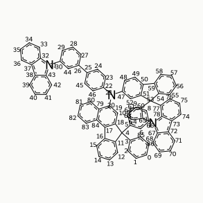 c1ccc(C2(c3ccccc3)c3ccccc3-c3c2cc(N(c2ccc(-c4cccc(-n5c6ccccc6c6ccccc65)c4)cc2)c2ccc4c(c2)C2(c5ccccc5-4)c4ccccc4-n4c5ccccc5c5cccc2c54)c2ccccc32)cc1